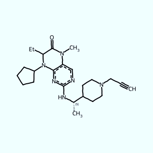 C#CCN1CCC([C@H](C)Nc2ncc3c(n2)N(C2CCCC2)C(CC)C(=O)N3C)CC1